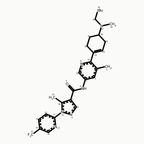 Cc1cc(NC(=O)c2cnn(-c3ccc(C(F)(F)F)cn3)c2C)cnc1C1=CCC(N(C)CC(C)(C)C)CC1